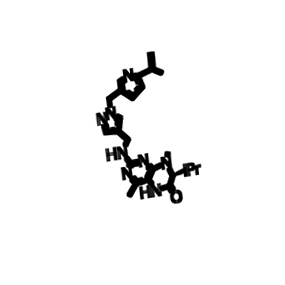 C=C(C)c1ccc(Cn2cc(CNc3nc(C)c4c(n3)N(C)[C@@H](C(C)C)C(=O)N4)cn2)cn1